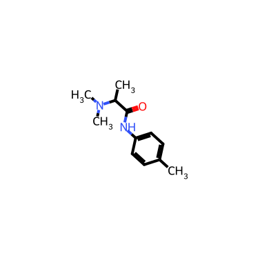 Cc1ccc(NC(=O)C(C)N(C)C)cc1